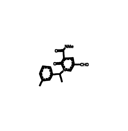 CNC(=O)c1cc(C=O)cn(C(C)c2cccc(C)c2)c1=O